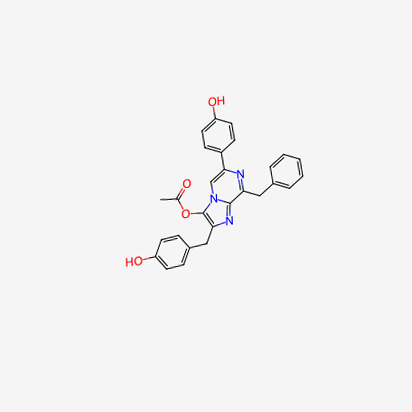 CC(=O)Oc1c(Cc2ccc(O)cc2)nc2c(Cc3ccccc3)nc(-c3ccc(O)cc3)cn12